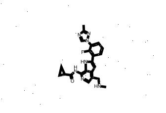 CNCc1cnc(NC(=O)C2CC2)c2[nH]c(-c3cccc(-n4cnc(C)n4)c3F)cc12